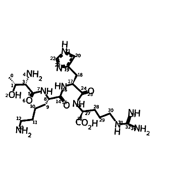 C[C@@H](O)[C@H](N)C(=O)N[C@@H](CCCCN)C(=O)N[C@@H](Cc1c[nH]cn1)C(=O)N[C@@H](CCCNC(=N)N)C(=O)O